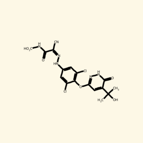 CC(C)(O)c1cc(Oc2c(Cl)cc(NN=C(C#N)C(=O)NC(=O)O)cc2Cl)n[nH]c1=O